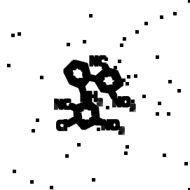 N#Cc1ccc([N+](=O)[O-])cc1-c1ccccc1N.N#Cc1ccc([N+](=O)[O-])cc1Cl